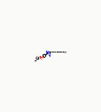 CCCCCCCCCCCc1cnc(-c2ccc(OCC3=CC(CC)CC3)cc2)nc1